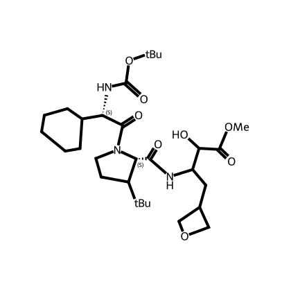 COC(=O)C(O)C(CC1COC1)NC(=O)[C@@H]1C(C(C)(C)C)CCN1C(=O)[C@@H](NC(=O)OC(C)(C)C)C1CCCCC1